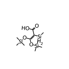 C[SiH2]C(C(=O)O)=C(O[Si](C)(C)C)O[Si](C)(C)C